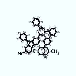 CC1C[C@@H]2C[C@H](C)CC(c3ccc(-c4ccccc4-c4nc(-c5ccccc5)nc(-c5ccc6c7ccc(C#N)cc7n(-c7ccccc7)c6c5)n4)cc3)(C1)C2